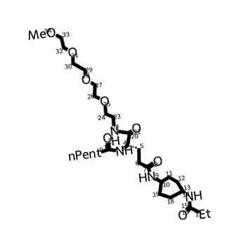 CCCCCC(=O)N[C@@H](CCC(=O)NC1CCC(NC(=O)CC)CC1)C(=O)NCCOCCOCCOCCOC